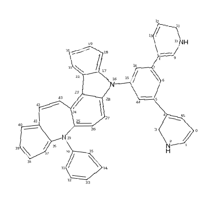 C1=CNCC(c2cc(C3=CNCC=C3)cc(-n3c4ccccc4c4c5c(ccc43)N(c3ccccc3)c3ccccc3C=C5)c2)=C1